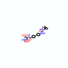 C[C@@H]1C(NCC(=O)Nc2ccc(-c3ccc(C(=O)N[C@H](C(=O)NO)[C@@H](C)O)cc3)cc2)C2CC1C2(C)C